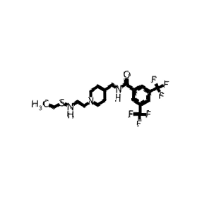 CCSNCCN1CCC(CNC(=O)c2cc(C(F)(F)F)cc(C(F)(F)F)c2)CC1